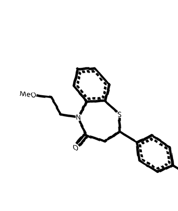 COCCN1C(=O)CC(c2ccc(F)cc2)Sc2ccccc21